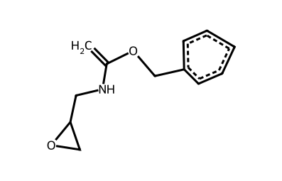 C=C(NCC1CO1)OCc1ccccc1